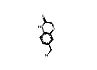 CC(C)Cc1ccc2c(c1)OCC(=O)N2